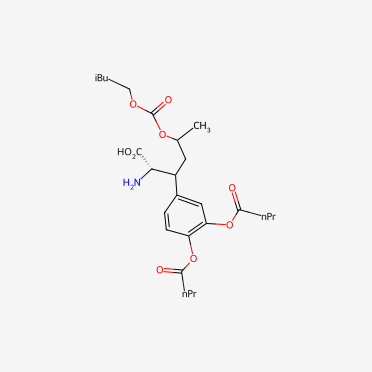 CCCC(=O)Oc1ccc(C(CC(C)OC(=O)OCC(C)CC)[C@H](N)C(=O)O)cc1OC(=O)CCC